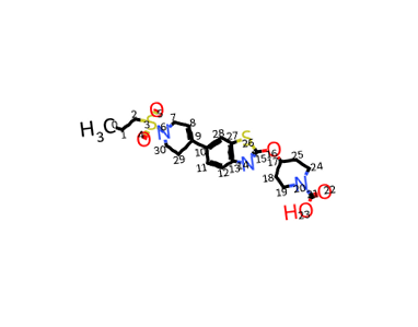 CCCS(=O)(=O)N1CC=C(c2ccc3nc(OC4CCN(C(=O)O)CC4)sc3c2)CC1